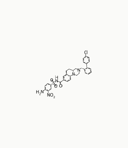 Nc1ccc(S(=O)(=O)NC(=O)c2ccc3c(c2)CCC2CN(Cc4ccccc4-c4ccc(Cl)cc4)CCN32)cc1[N+](=O)[O-]